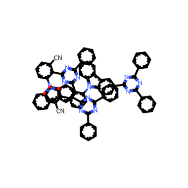 N#Cc1ccccc1-c1cccc(-n2c3ccccc3c3cc(-c4nc(-c5ccccc5)nc(-c5ccccc5)n4)ccc32)c1-c1nc(-c2ccccc2)nc(-c2c(C#N)cccc2-n2c3ccccc3c3cc(-c4nc(-c5ccccc5)nc(-c5ccccc5)n4)ccc32)n1